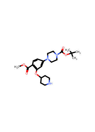 COC(=O)c1ccc(N2CCN(C(=O)OC(C)(C)C)CC2)cc1OC1CCNCC1